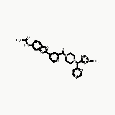 CC(=O)Nc1ccc2oc(-c3ccnc(C(=O)N4CCN(C(c5ccncn5)c5nnn(C)n5)CC4)c3)nc2c1